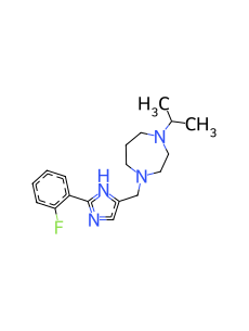 CC(C)N1CCCN(Cc2cnc(-c3ccccc3F)[nH]2)CC1